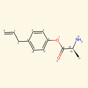 C=CCc1ccc(OC(=O)[C@H](C)N)cc1